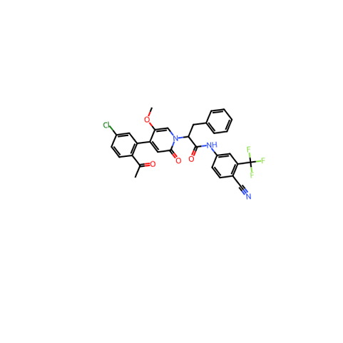 COc1cn(C(Cc2ccccc2)C(=O)Nc2ccc(C#N)c(C(F)(F)F)c2)c(=O)cc1-c1cc(Cl)ccc1C(C)=O